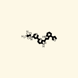 CC(C)(C)C(=O)Nc1cncc(-c2ccc3[nH]nc(-c4cc5c(-c6ccoc6)cccc5[nH]4)c3n2)c1